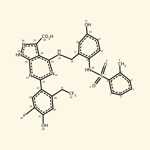 Cc1ccccc1S(=O)(=O)Nc1ccc(O)cc1CNc1nc(-c2cc(F)c(O)cc2CC(F)(F)F)nc2[nH]nc(C(=O)O)c12